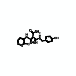 NC(=O)c1c(Nc2cccnc2Cl)n[nH]c1NCc1ccc(O)cc1